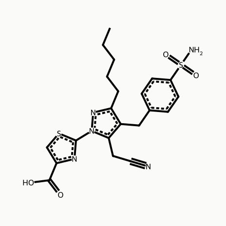 CCCCCc1nn(-c2nc(C(=O)O)cs2)c(CC#N)c1Cc1ccc(S(N)(=O)=O)cc1